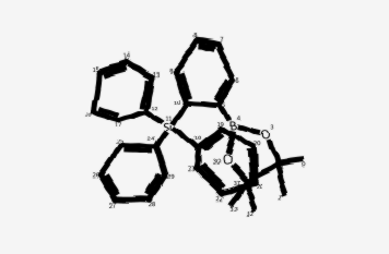 CC1(C)OB(c2ccccc2[Si](c2ccccc2)(c2ccccc2)c2ccccc2)OC1(C)C